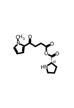 Cn1cccc1C(=O)CCC(=O)OC(=O)[C@@H]1CCCN1